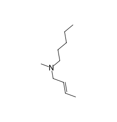 CC=CCN(C)CCCCC